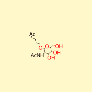 CC(=O)CCCCO[C@@H]1OC(CO)[C@H](O)C(O)C1NC(C)=O